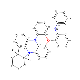 CC12CCCCC1(C)N1c3cccc4c3N(c3cccc(N(c5ccccc5)c5ccccc5)c3O4)c3cccc2c31